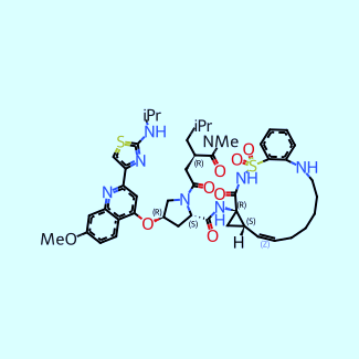 CNC(=O)[C@@H](CC(=O)N1C[C@H](Oc2cc(-c3csc(NC(C)C)n3)nc3cc(OC)ccc23)C[C@H]1C(=O)N[C@]12C[C@H]1/C=C\CCCCCNc1ccccc1S(=O)(=O)NC2=O)CC(C)C